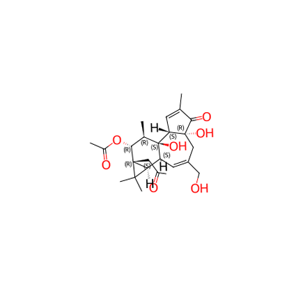 CC(=O)C[C@@]12[C@H](OC(C)=O)[C@@H](C)[C@@]3(O)[C@@H](C=C(CO)C[C@]4(O)C(=O)C(C)=C[C@@H]34)[C@H]1C2(C)C